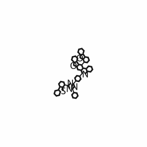 c1ccc(-c2nc(-c3ccc(-c4nc5ccccc5c5c(-c6cccc7c6oc6ccccc67)c6c(cc45)oc4ccccc46)cc3)nc(-c3cccc4c3sc3ccccc34)n2)cc1